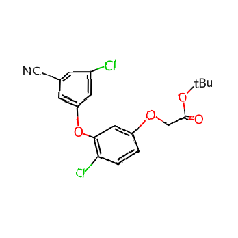 CC(C)(C)OC(=O)COc1ccc(Cl)c(Oc2cc(Cl)cc(C#N)c2)c1